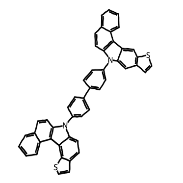 c1ccc2c(c1)ccc1c2c2cc3sccc3cc2n1-c1ccc(-c2ccc(-n3c4ccc5ccccc5c4c4c5sccc5ccc43)cc2)cc1